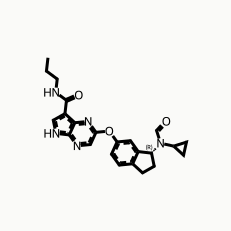 CCCNC(=O)c1c[nH]c2ncc(Oc3ccc4c(c3)[C@H](N(C=O)C3CC3)CC4)nc12